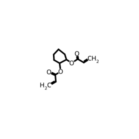 C=CC(=O)OC1CCCCC1OC(=O)C=C